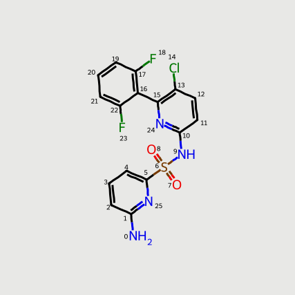 Nc1cccc(S(=O)(=O)Nc2ccc(Cl)c(-c3c(F)cccc3F)n2)n1